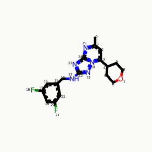 Cc1cc(C2CCOCC2)n2nc(NCc3cc(F)cc(F)c3)nc2n1